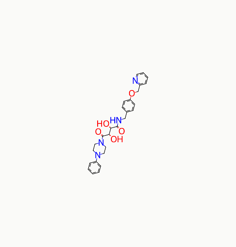 O=C(NCc1ccc(OCc2ccccn2)cc1)[C@H](O)[C@@H](O)C(=O)N1CCN(c2ccccc2)CC1